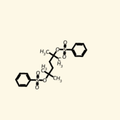 CC(C)(CCC(C)(C)OS(=O)(=O)c1ccccc1)OS(=O)(=O)c1ccccc1